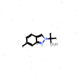 CCOC(=O)C(C)(C)n1cc2ccc(C)cc2n1